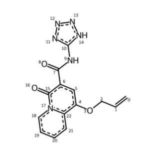 C=CCOc1cc(C(=O)Nc2nnn[nH]2)c(=O)n2ccccc12